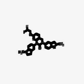 Cn1cc2cc(N3Cc4ccc(OCC(F)F)nc4N(c4ccc5c(ccn5C)c4)C3=O)ccc2n1